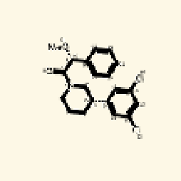 CO[C@@H](C(=O)N1CCC[C@@H](c2cc(Cl)cc(Cl)c2)C1)c1ccccc1